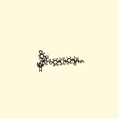 CCCN1CCN(c2ccc(N3CCN(c4ccc(OCC5COC(Cc6nc[nH]n6)(c6ccc(Cl)cc6Cl)O5)cc4)CC3)cc2)C1=O